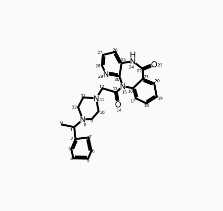 CC(c1ccccc1)N1CCN(CC(=O)N2c3ccccc3C(=O)Nc3cccnc32)CC1